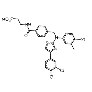 Cc1cc(N(Cc2ccc(C(=O)NCCC(=O)O)cc2)c2nc(-c3ccc(Cl)c(Cl)c3)cs2)ccc1C(C)C